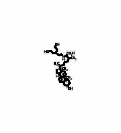 CC(CCC[C@@H](C)[C@H]1CC[C@H]2[C@@H]3CC=C4C[C@@H](O)CC[C@]4(C)[C@H]3CC[C@]12C)C(NCCN(CCO)CCO)C(=O)O